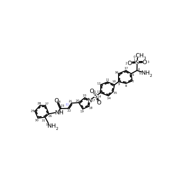 CS(=O)(=O)C(N)c1ccc(-c2ccc(S(=O)(=O)n3ccc(/C=C/C(=O)Nc4ccccc4N)c3)cc2)cc1